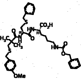 COc1ccc(CSCC(C)(C)C(=O)N[C@@H](CSCc2ccccc2)C(=O)N[C@@H](CCCCNC(=O)OCc2ccccc2)C(=O)O)cc1